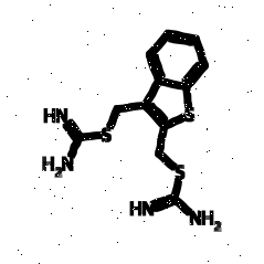 N=C(N)SCc1sc2ccccc2c1CSC(=N)N